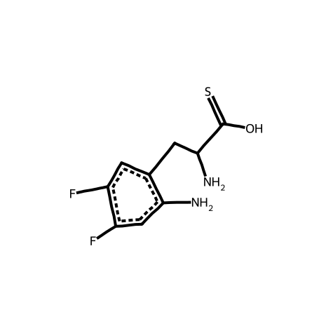 Nc1cc(F)c(F)cc1CC(N)C(O)=S